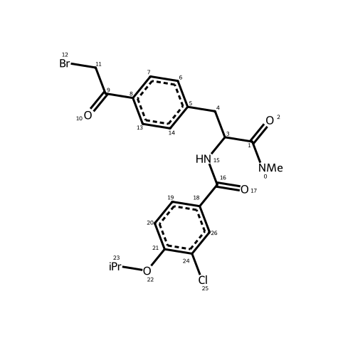 CNC(=O)C(Cc1ccc(C(=O)CBr)cc1)NC(=O)c1ccc(OC(C)C)c(Cl)c1